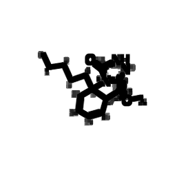 CCCCCC1(n2c(C)n[nH]c2=O)C=CC=CC1C(=O)OC